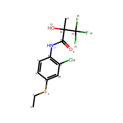 CCSc1ccc(NC(=O)C(C)(O)C(F)(F)F)c(Cl)c1